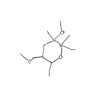 COC1C[Si](C)(OC)[Si](C)(C)OC1C